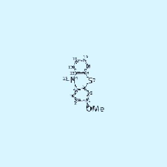 COc1ccc2c(c1)Sc1cc[c]cc1N2C